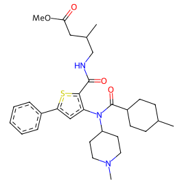 COC(=O)CC(C)CNC(=O)c1sc(-c2ccccc2)cc1N(C(=O)C1CCC(C)CC1)C1CCN(C)CC1